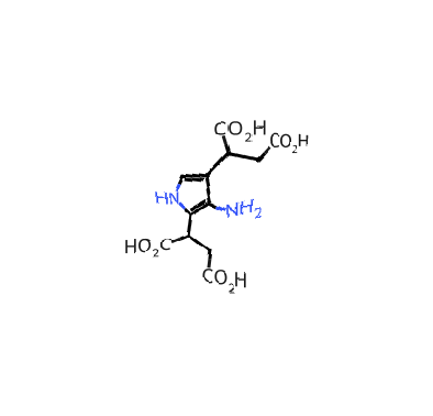 Nc1c(C(CC(=O)O)C(=O)O)c[nH]c1C(CC(=O)O)C(=O)O